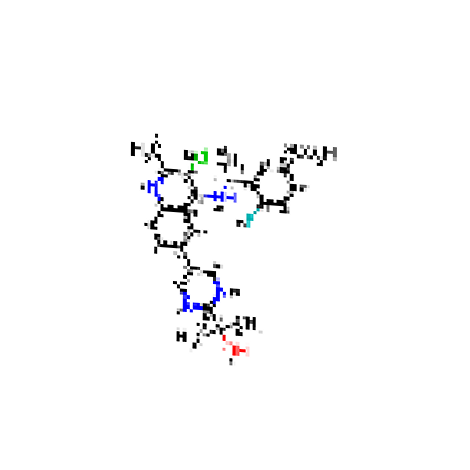 Cc1nc2ccc(-c3cnc(C(C)(C)O)nc3)cc2c(N[C@H](C)c2cc(C(=O)O)ccc2F)c1Cl